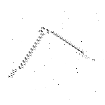 Cl.Cl.Cl.Cl.Cl.Cl.Cl.[NaH].[NaH].[NaH].[NaH].[NaH].[NaH].[NaH].[NaH].[NaH].[NaH].[NaH].[NaH].[NaH].[NaH].[NaH].[NaH].[NaH].[NaH].[NaH].[NaH].[NaH].[NaH].[NaH].[NaH].[NaH].[NaH]